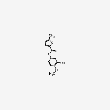 COc1ccc(OC(=O)c2ccc(C)s2)cc1O